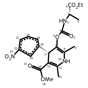 CCOC(=O)[C@H](C)NC(=O)OC1=C(C)NC(C)=C(C(=O)OC)[C@@H]1c1cccc([N+](=O)[O-])c1